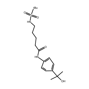 CC(C)(O)c1ccc(NC(=O)CCCCNS(=O)(=O)C(C)(C)C)cc1